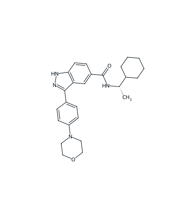 C[C@H](NC(=O)c1ccc2[nH]nc(-c3ccc(N4CCOCC4)cc3)c2c1)C1CCCCC1